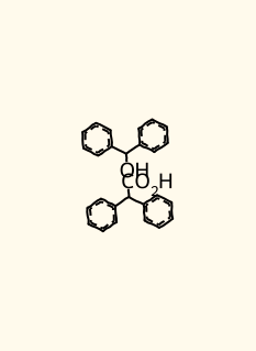 O=C(O)C(c1ccccc1)c1ccccc1.OC(c1ccccc1)c1ccccc1